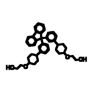 OCCOC1CCC(c2cccc(C3(c4cccc(C5CCC(OCCO)CC5)c4)c4ccccc4-c4ccccc43)c2)CC1